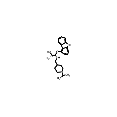 CC(C)N1CCC(CNC(Oc2cccc3[nH]c4ccccc4c23)[C@H](C)O)CC1